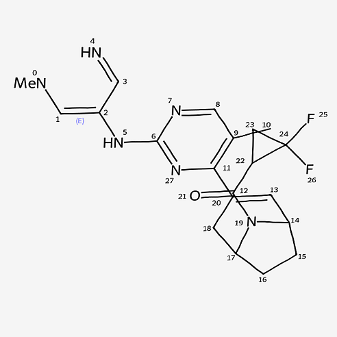 CN/C=C(\C=N)Nc1ncc(C)c(C2=CC3CCC(C2)N3C(=O)C2CC2(F)F)n1